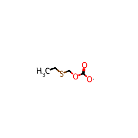 CCSCOC([O])=O